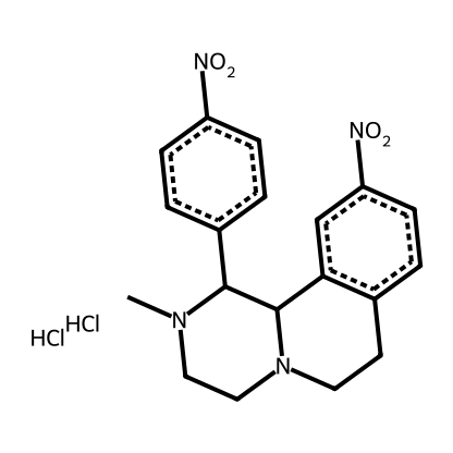 CN1CCN2CCc3ccc([N+](=O)[O-])cc3C2C1c1ccc([N+](=O)[O-])cc1.Cl.Cl